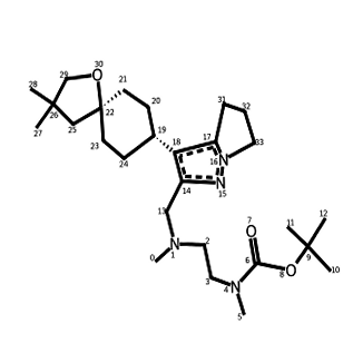 CN(CCN(C)C(=O)OC(C)(C)C)Cc1nn2c(c1[C@H]1CC[C@]3(CC1)CC(C)(C)CO3)CCC2